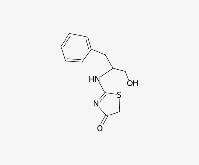 O=C1CSC(NC(CO)Cc2ccccc2)=N1